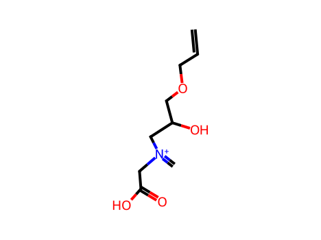 C=CCOCC(O)C[N+](=C)CC(=O)O